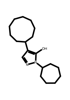 Oc1c(C2CCCCCCCC2)cnn1C1CCCCCC1